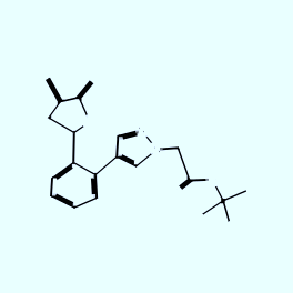 C=C1CC(c2ccccc2-c2cnn(CC(=O)OC(C)(C)C)c2)OC1=O